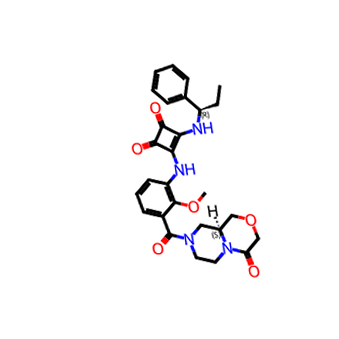 CC[C@@H](Nc1c(Nc2cccc(C(=O)N3CCN4C(=O)COC[C@@H]4C3)c2OC)c(=O)c1=O)c1ccccc1